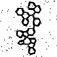 c1cc(-c2ccc3c(c2)-c2ccccc2C32c3ccccc3-n3c4ccccc4c4cccc2c43)cc(N(c2cccc3ccccc23)c2cc3ccccc3c3ccccc23)c1